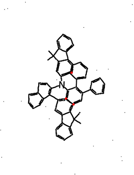 CC1(C)c2ccccc2-c2cc(-c3c(N(c4ccc5c(c4)C(C)(C)c4ccccc4-5)c4cccc(-c5ccccc5)c4-c4ccccc4)ccc4ccccc34)ccc21